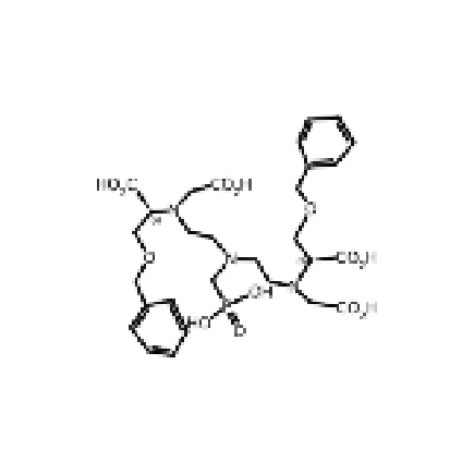 O=C(O)CN(CCN(CCN(CC(=O)O)[C@@H](COCc1ccccc1)C(=O)O)CP(=O)(O)O)[C@@H](COCc1ccccc1)C(=O)O